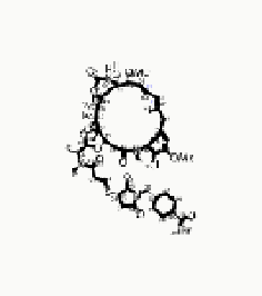 COc1cc2cc(c1Cl)N(C)C(=O)C[C@H](OC(=O)[C@H](C)N(C)C(=O)CCS[C@@H]1CC(=O)N(C[C@H]3CC[C@H](C(=O)C(C)C)CC3)C1=O)[C@]1(C)O[C@H]1[C@H](C)[C@@H]1C[C@@](O)(NC(=O)O1)[C@H](OC)/C=C/C=C(\C)C2